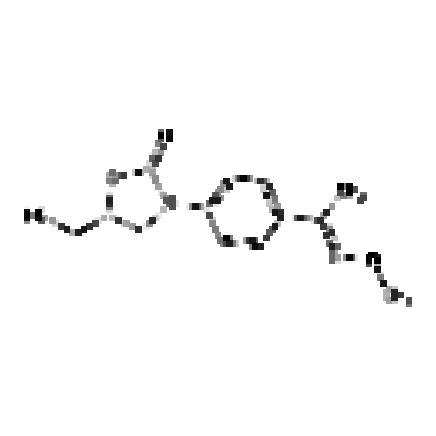 CO/N=C(\C)c1ccc(N2CC(CO)OC2=O)cc1